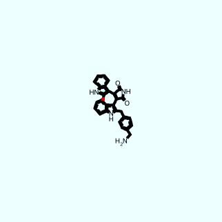 Cc1[nH]c2ccccc2c1C1=C(c2c(Cc3ccc(CN)cc3)[nH]c3ccccc23)C(=O)NC1=O